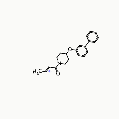 C/C=C/C(=O)N1CCC(Oc2cccc(-c3ccccc3)c2)CC1